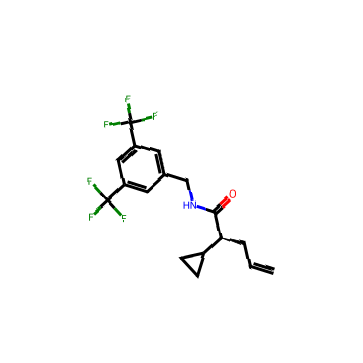 C=CC[C@H](C(=O)NCc1cc(C(F)(F)F)cc(C(F)(F)F)c1)C1CC1